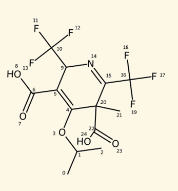 CC(C)OC1=C(C(=O)O)C(C(F)(F)F)N=C(C(F)(F)F)C1(C)C(=O)O